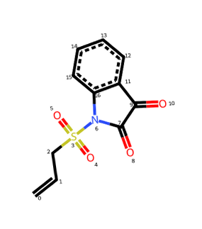 C=CCS(=O)(=O)N1C(=O)C(=O)c2ccccc21